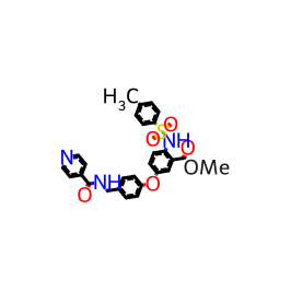 COC(=O)c1cc(Oc2ccc(CNC(=O)c3ccncc3)cc2)ccc1NS(=O)(=O)c1ccc(C)cc1